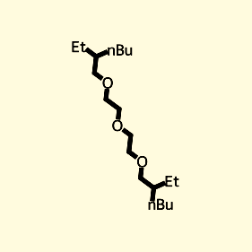 CCCCC(CC)COCCOCCOCC(CC)CCCC